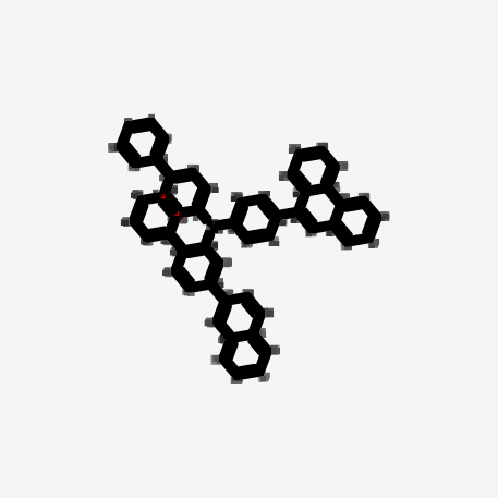 c1ccc(-c2ccc(N(c3ccc(-c4cc5ccccc5c5ccccc45)cc3)c3cc(-c4ccc5ccccc5c4)ccc3-c3ccccc3)cc2)cc1